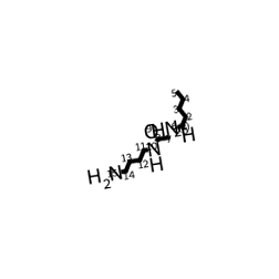 [2H][C@H](CCCC)NCC(=O)NCCCCN